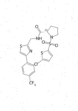 O=C(NCc1nc(-c2ccc(C(F)(F)F)cc2)cs1)[C@@H]1CCCN1S(=O)(=O)c1ccc(Cl)s1